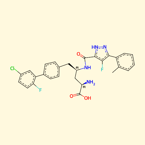 Cc1ccccc1-c1n[nH]c(C(=O)N[C@H](Cc2ccc(-c3cc(Cl)ccc3F)cc2)C[C@@H](N)C(=O)O)c1F